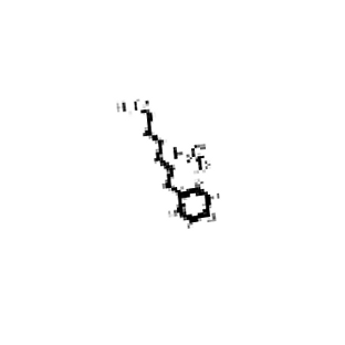 C=O.CCCCCCCc1ccccc1